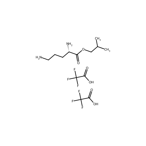 CC(C)COC(=O)[C@@H](N)CCCN.O=C(O)C(F)(F)F.O=C(O)C(F)(F)F